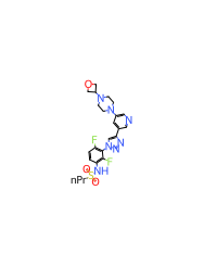 CCCS(=O)(=O)Nc1ccc(F)c(-n2cc(-c3cncc(N4CCN(C5COC5)CC4)c3)nn2)c1F